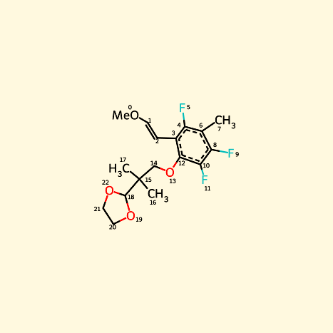 COC=Cc1c(F)c(C)c(F)c(F)c1OCC(C)(C)C1OCCO1